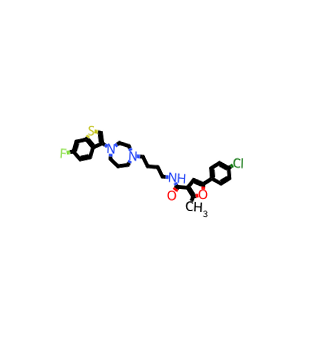 Cc1oc(-c2ccc(Cl)cc2)cc1C(=O)NCCCCN1CCCN(c2csc3cc(F)ccc23)CC1